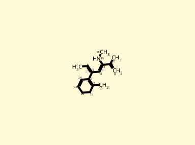 C=C(C)/C(=C/C(=C/C)C1=C(C)CCC=C1)NC